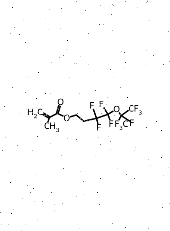 C=C(C)C(=O)OCCC(F)(F)C(F)(F)OC(F)(C(F)(F)F)C(F)(F)F